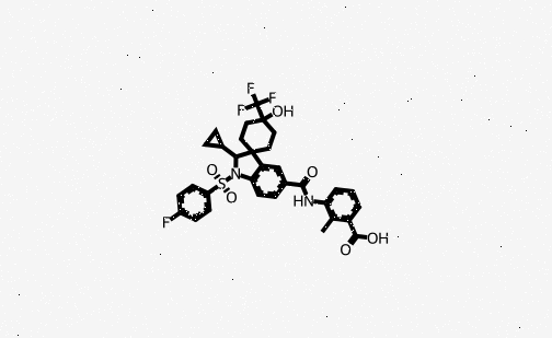 Cc1c(NC(=O)c2ccc3c(c2)C2(CCC(O)(C(F)(F)F)CC2)C(C2CC2)N3S(=O)(=O)c2ccc(F)cc2)cccc1C(=O)O